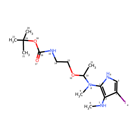 CNc1c(I)c[nH]c1N(C)C(C)OCCNC(=O)OC(C)(C)C